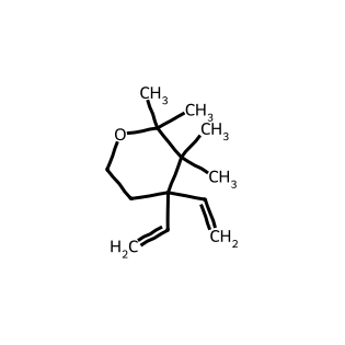 C=CC1(C=C)CCOC(C)(C)C1(C)C